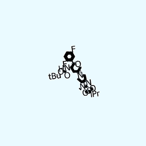 CC(C)S(=O)(=O)c1nc2c(n1C)CN([C@H]1CO[C@H](c3cc(F)ccc3F)[C@@H](NC(=O)OC(C)(C)C)C1)C2